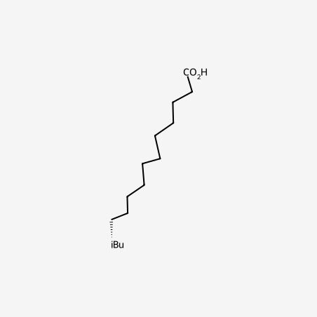 CC[C@@H](C)CCCCCCCCCCC(=O)O